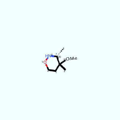 COC1(C)CCON[C@@H]1C